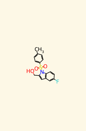 Cc1ccc(S(=O)(=O)n2c(CO)cc3cc(F)ccc32)cc1